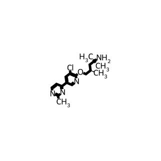 Cc1nccc(-c2cnc(OC[C@@H](C)CC(C)(C)N)c(Cl)c2)n1